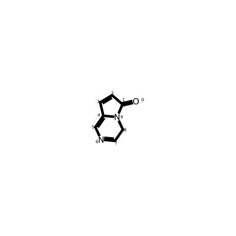 O=C1C=CC2=CN=CCN12